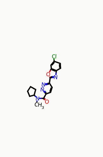 CN(C(=O)c1ccc(-c2nc3ccc(Cl)cc3o2)nn1)C1CCCC1